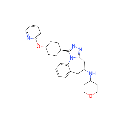 c1ccc(O[C@H]2CC[C@H](c3nnc4n3-c3ccccc3CC(NC3CCOCC3)C4)CC2)nc1